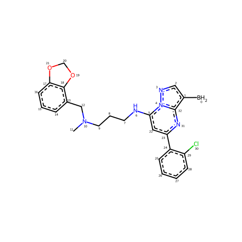 Bc1cnn2c(NCCCN(C)Cc3cccc4c3OCO4)cc(-c3ccccc3Cl)nc12